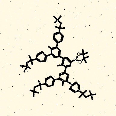 Cc1c(-c2cc(-c3ccc(C(C)(C)CC(C)(C)C)cc3)c(C)c(-c3ccc(C(C)(C)CC(C)(C)C)cc3)c2)cc(B2OC(C)(C)C(C)(C)O2)cc1-c1cc(-c2ccc(C(C)(C)CC(C)(C)C)cc2)c(C)c(-c2ccc(C(C)(C)CC(C)(C)C)cc2)c1